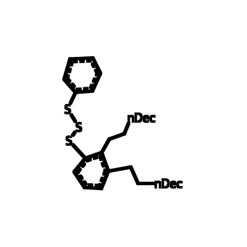 CCCCCCCCCCCCc1cccc(SSSc2ccccc2)c1CCCCCCCCCCCC